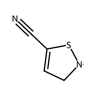 N#CC1=CC[N]S1